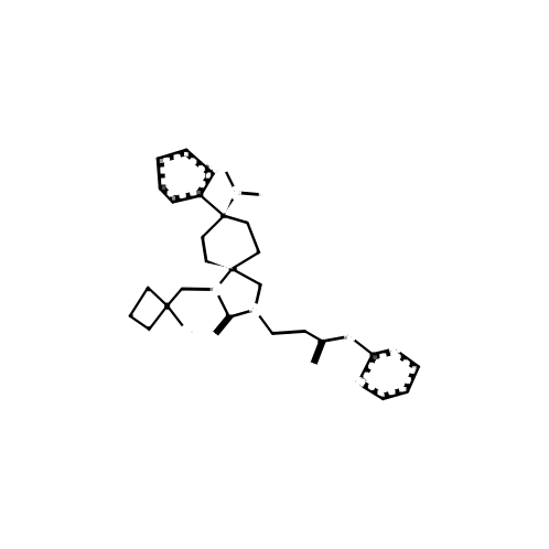 CN(C)[C@]1(c2ccccc2)CC[C@@]2(CC1)CN(CCC(=O)Nc1ncccn1)C(=O)N2CC1(O)CCC1